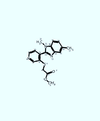 COC(=O)CSc1cnccc1-c1nc2cc(C)ccc2n1C